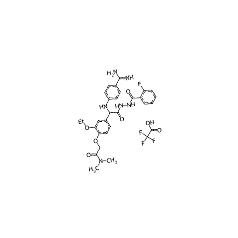 CCOc1cc(C(Nc2ccc(C(=N)N)cc2)C(=O)NNC(=O)c2ccccc2F)ccc1OCC(=O)N(C)C.O=C(O)C(F)(F)F